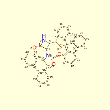 O=C1NC(CSC(c2ccccc2)(c2ccccc2)c2ccccc2)C1N1C(=O)OC(c2ccccc2)C1c1ccccc1